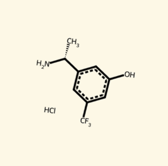 C[C@@H](N)c1cc(O)cc(C(F)(F)F)c1.Cl